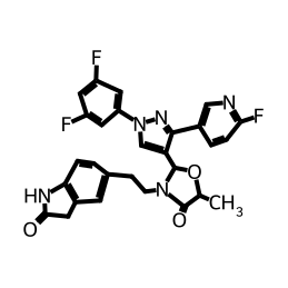 CC1OC(c2cn(-c3cc(F)cc(F)c3)nc2-c2ccc(F)nc2)N(CCc2ccc3c(c2)CC(=O)N3)C1=O